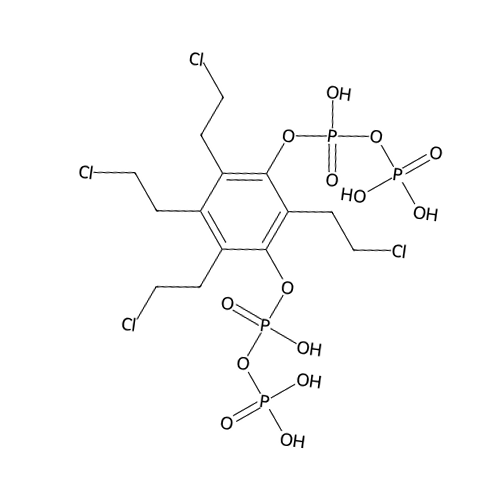 O=P(O)(O)OP(=O)(O)Oc1c(CCCl)c(CCCl)c(CCCl)c(OP(=O)(O)OP(=O)(O)O)c1CCCl